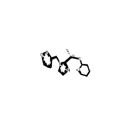 C[C@H](OC1CCCCO1)c1nccn1Cc1ccon1